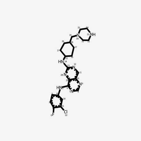 Fc1ccc(Nc2ncnc3cnc(NC4CCC(CN5CCNCC5)CC4)nc23)cc1Cl